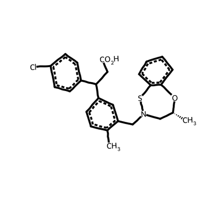 Cc1ccc(C(CC(=O)O)c2ccc(Cl)cc2)cc1CN1C[C@@H](C)Oc2ccccc2S1